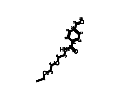 CCOCCOCCNC(=O)c1ccc(C=O)cc1